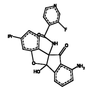 CC(C)c1ccc2c(c1)OC1(O)c3cccc(N)c3C(=O)C21NC(=O)c1ccncc1F